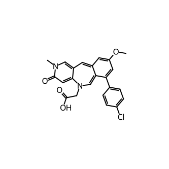 COc1cc(-c2ccc(Cl)cc2)c2c(c1)=Cc1cn(C)c(=O)cc1N(CC(=O)O)C=2